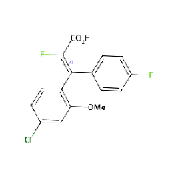 COc1cc(Cl)ccc1/C(=C(\F)C(=O)O)c1ccc(F)cc1